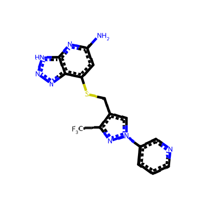 Nc1cc(SCc2cn(-c3cccnc3)nc2C(F)(F)F)c2nn[nH]c2n1